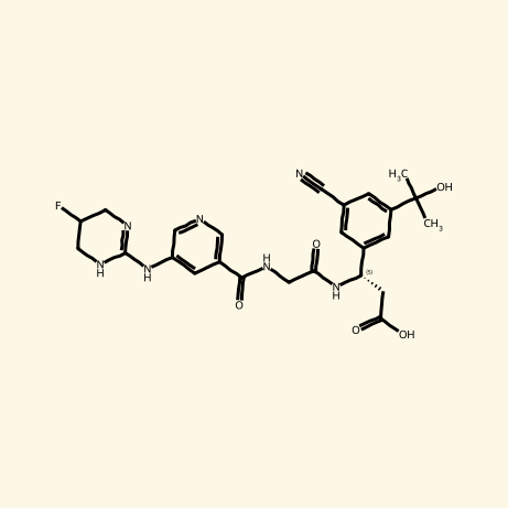 CC(C)(O)c1cc(C#N)cc([C@H](CC(=O)O)NC(=O)CNC(=O)c2cncc(NC3=NCC(F)CN3)c2)c1